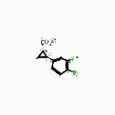 CCOC(=O)[C@H]1C[C@@H]1c1ccc(Br)c(F)c1